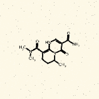 CC1CCC(C(=O)N(C)C)=C2NC=C(C(N)=O)C(=O)N21